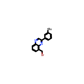 CC(C)(C)c1cccc(-c2cnc3cccc(CBr)c3n2)c1